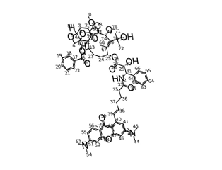 CO[C@H]1C[C@H]2OC[C@@]2(OC(C)=O)[C@H]2[C@H](OC(=O)c3ccccc3)CC[C@H](OC(=O)[C@H](O)[C@@H](NC(=O)CCC/C=C/c3cc(N(C)C)cc4oc5cc(N(C)C)ccc5c(=O)c34)c3ccccc3)/C(C)=C(\C(C)(C)O)[C@@H](OC)C(=O)[C@]12C